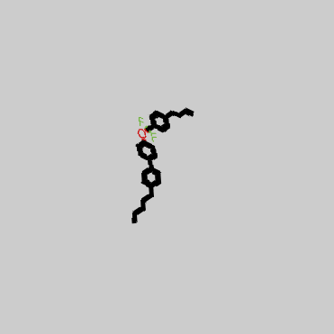 C=CCCc1ccc(C(F)(F)Oc2ccc(-c3ccc(CC/C=C/C)cc3)cc2)cc1